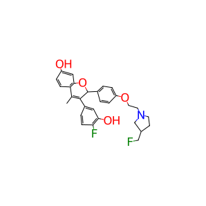 CC1=C(c2ccc(F)c(O)c2)C(c2ccc(OCCN3CCC(CF)C3)cc2)Oc2cc(O)ccc21